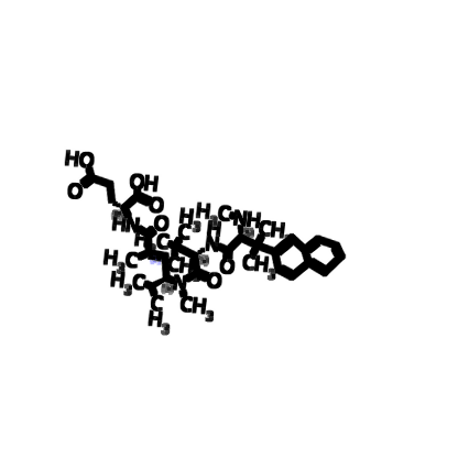 CN[C@H](C(=O)N[C@H](C(=O)N(C)[C@H](/C=C(\C)C(=O)N[C@H](CCC(=O)O)C(=O)O)C(C)C)C(C)(C)C)C(C)(C)c1ccc2ccccc2c1